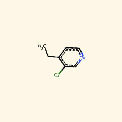 CCc1ccncc1Cl